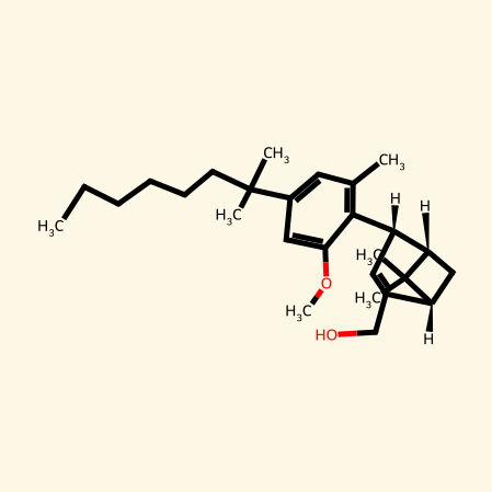 CCCCCCC(C)(C)c1cc(C)c([C@H]2C=C(CO)[C@H]3C[C@@H]2C3(C)C)c(OC)c1